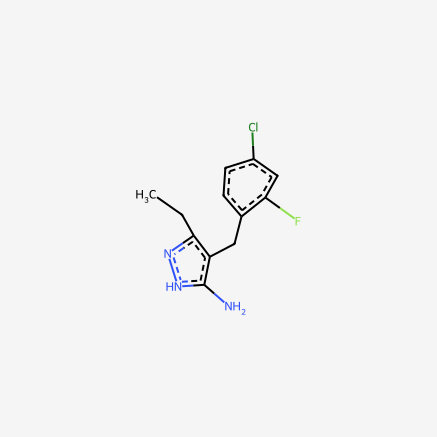 CCc1n[nH]c(N)c1Cc1ccc(Cl)cc1F